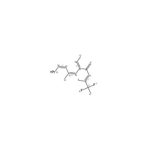 C=C(/C=C(\C)C(C)(F)F)C(/C=C(C)\C=C/CCC)=C\C